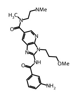 CNCCN(C)C(=O)c1cnc2c(c1)nc(NC(=O)c1cccc(N)c1)n2CCCOC